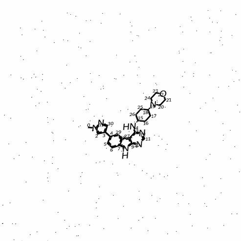 Cn1cc(-c2ccc3[nH]c4ncnc(N[C@H]5CC[C@H](N6CCOCC6)CC5)c4c3c2)cn1